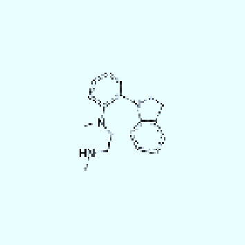 CNCC1c2cccc3c2N(CC3)c2ccccc2N1C